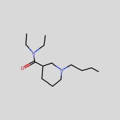 CCCCN1CCCC(C(=O)N(CC)CC)C1